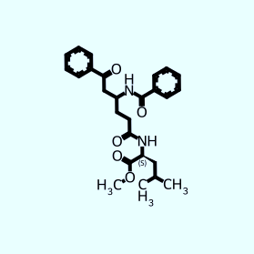 COC(=O)[C@H](CC(C)C)NC(=O)CCC(CC(=O)c1ccccc1)NC(=O)c1ccccc1